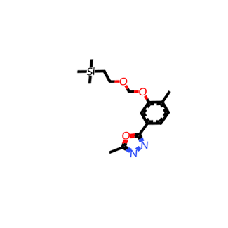 Cc1nnc(-c2ccc(C)c(OCOCC[Si](C)(C)C)c2)o1